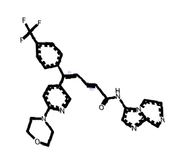 O=C(/C=C/C=C(/c1ccc(C(F)(F)F)cc1)c1ccc(N2CCOCC2)nc1)Nc1cnc2cnccn12